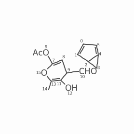 C1=CC2CC2=C1.CC(=O)OC1=CC(C=O)C(O)=C(C)O1